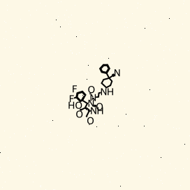 COCC1=C(C(=O)O)C(c2ccc(F)c(F)c2)N(N(C=O)CCNC2CCC(C#N)(c3ccccc3)CC2)C(=O)N1